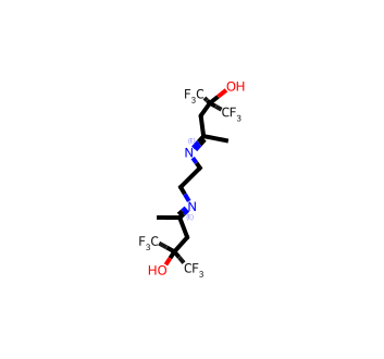 C/C(CC(O)(C(F)(F)F)C(F)(F)F)=N\CC/N=C(\C)CC(O)(C(F)(F)F)C(F)(F)F